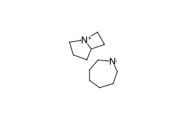 C1CC2CC[N+]2C1.C1CCC[N]CC1